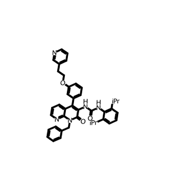 CC(C)c1cccc(C(C)C)c1NC(=O)Nc1c(-c2cccc(OCCc3cccnc3)c2)c2cccnc2n(Cc2ccccc2)c1=O